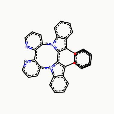 c1ccc(-c2c3ccccc3n3c4cccnc4c4ncccc4n4c5ccccc5c(-c5ccccc5)c4c23)cc1